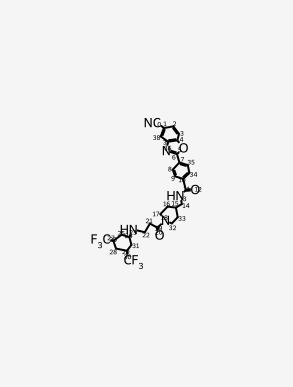 N#Cc1ccc2oc(-c3ccc(C(=O)NCC4CCN(C(=O)CCNC5CC(C(F)(F)F)CC(C(F)(F)F)C5)CC4)cc3)nc2c1